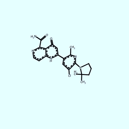 Cc1nc(N2CCCC2(C)C)c(Cl)cc1-c1cc(=O)c2c(C(N)=O)nccc2[nH]1